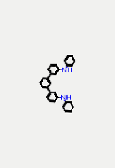 c1ccc(Nc2cccc(-c3cccc(-c4cccc(Nc5ccccc5)c4)c3)c2)cc1